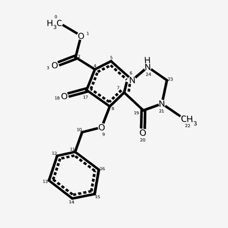 COC(=O)c1cn2c(c(OCc3ccccc3)c1=O)C(=O)N(C)CN2